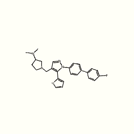 CN(C)C1CCN(Cc2cnn(-c3ccc(-c4ccc(F)cc4)cc3)c2-c2ccco2)C1